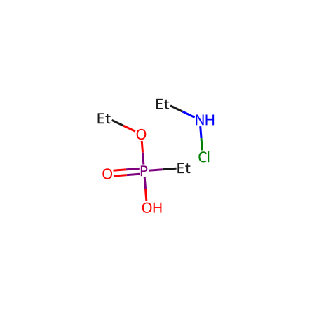 CCNCl.CCOP(=O)(O)CC